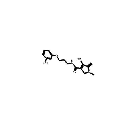 C=C1C(O)=C(C(=O)NCCCOc2cccc(O)c2)CN1C